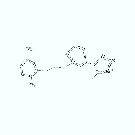 Cc1[nH]nnc1-c1cccc(COCc2cc(C(F)(F)F)ccc2C(F)(F)F)c1